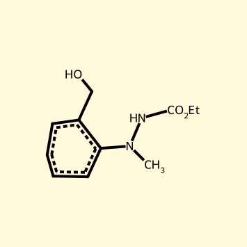 CCOC(=O)NN(C)c1ccccc1CO